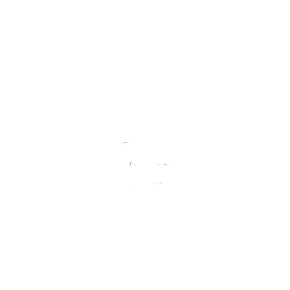 CC(NCc1ccc(C(F)F)cn1)c1ncc(F)cn1